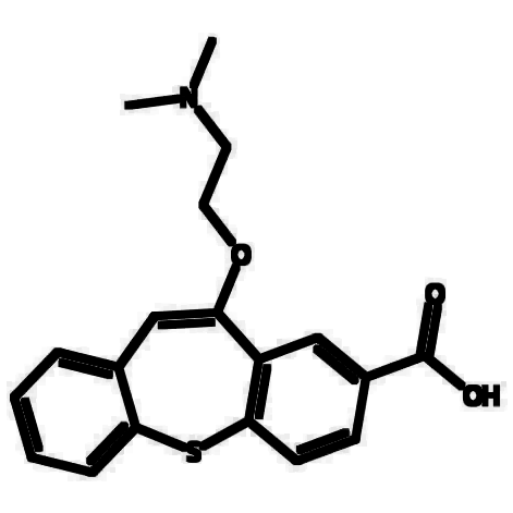 CN(C)CCOC1=Cc2ccccc2Sc2ccc(C(=O)O)cc21